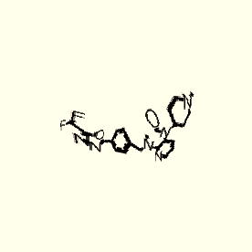 CN1CCC(N(C=O)c2cccnc2N(C)Cc2ccc(-c3nnc(C(F)F)o3)cc2)CC1